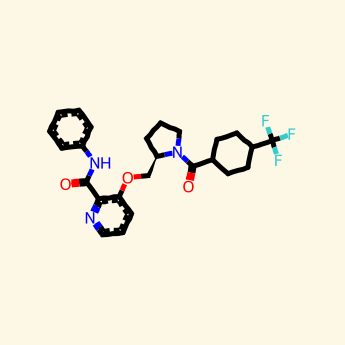 O=C(Nc1ccccc1)c1ncccc1OC[C@H]1CCCN1C(=O)C1CCC(C(F)(F)F)CC1